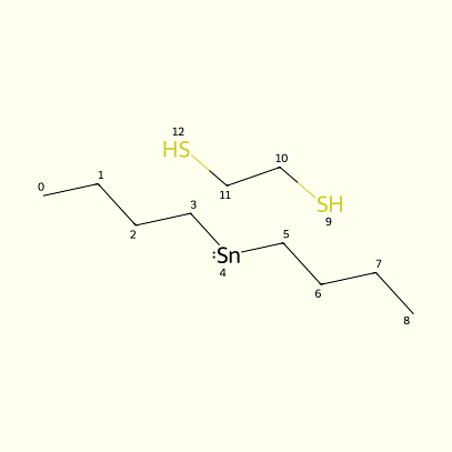 CCC[CH2][Sn][CH2]CCC.SCCS